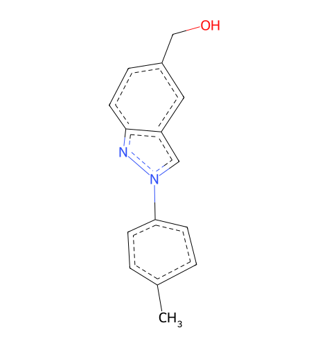 Cc1ccc(-n2cc3cc(CO)ccc3n2)cc1